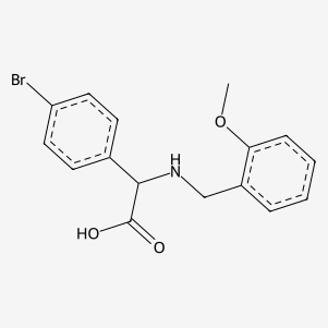 COc1ccccc1CNC(C(=O)O)c1ccc(Br)cc1